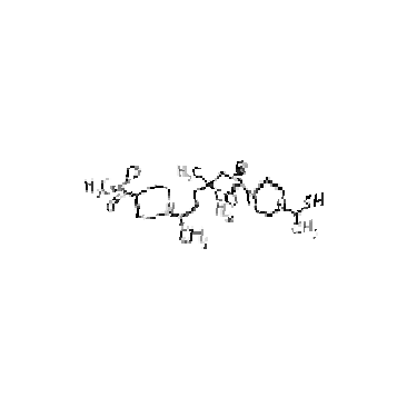 CC(S)N1CCN(S(=O)(=O)CC(C)(C)CCC(C)N2CCC(S(C)(=O)=O)CC2)CC1